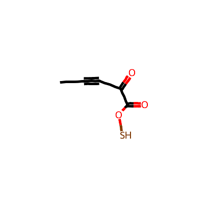 CC#CC(=O)C(=O)OS